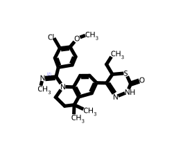 CCC1SC(=O)NN=C1c1ccc2c(c1)C(C)(C)CCN2/C(=N\C)c1ccc(OC)c(Cl)c1